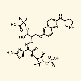 CC1(C)C(NC(=O)C(=NOC(COc2ccc3nc(NC4CCNC4)ccc3c2)C(=O)O)c2csc(N)n2)C(=O)N1OS(=O)(=O)O.O=C(O)C(F)(F)F